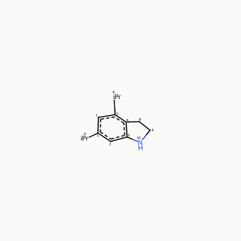 CC(C)c1cc2c(c(C(C)C)c1)CCN2